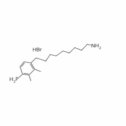 Br.Cc1c(P)ccc(CCCCCCCCCN)c1C